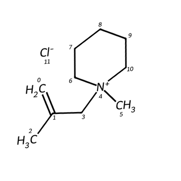 C=C(C)C[N+]1(C)CCCCC1.[Cl-]